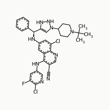 CC(C)(C)N1CCC(N2C=C([C@@H](Nc3cc(Cl)c4ncc(C#N)c(Nc5cnc(Cl)c(F)c5)c4c3)c3ccccc3)NN2)CC1